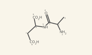 CC(N)C(=O)NC(CC(=O)O)C(=O)O